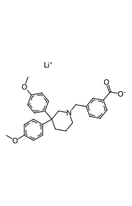 COc1ccc(C2(c3ccc(OC)cc3)CCCN(Cc3cccc(C(=O)[O-])c3)C2)cc1.[Li+]